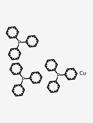 [Cu].c1ccc(P(c2ccccc2)c2ccccc2)cc1.c1ccc(P(c2ccccc2)c2ccccc2)cc1.c1ccc(P(c2ccccc2)c2ccccc2)cc1